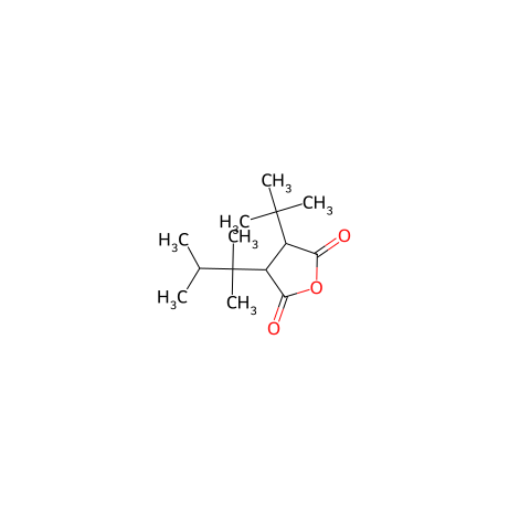 CC(C)C(C)(C)C1C(=O)OC(=O)C1C(C)(C)C